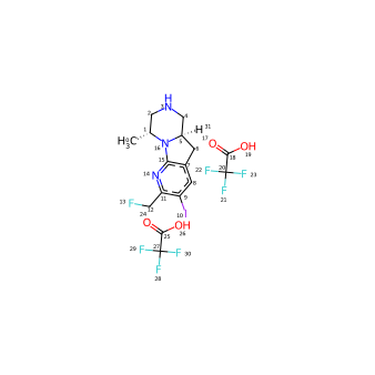 C[C@@H]1CNC[C@H]2Cc3cc(I)c(CF)nc3N21.O=C(O)C(F)(F)F.O=C(O)C(F)(F)F